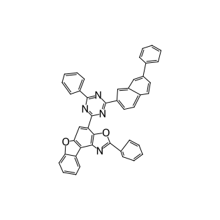 c1ccc(-c2ccc3ccc(-c4nc(-c5ccccc5)nc(-c5cc6oc7ccccc7c6c6nc(-c7ccccc7)oc56)n4)cc3c2)cc1